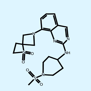 CS(=O)(=O)N1CCC(Nc2ncc3cccc(N4CC5(CCS5(=O)=O)C4)c3n2)CC1